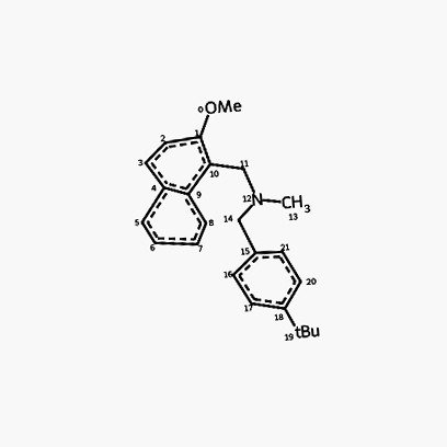 COc1ccc2ccccc2c1CN(C)Cc1ccc(C(C)(C)C)cc1